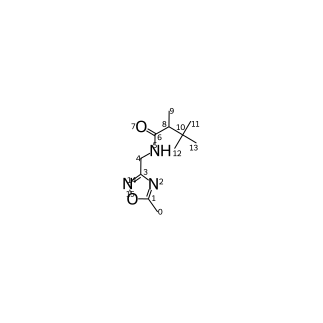 Cc1nc(CNC(=O)C(C)C(C)(C)C)no1